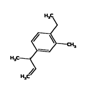 C=C[C](C)c1ccc(CC)c(C)c1